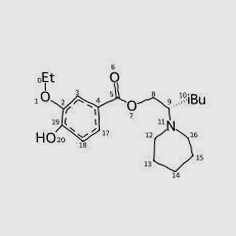 CCOc1cc(C(=O)OC[C@H](C(C)CC)N2CCCCC2)ccc1O